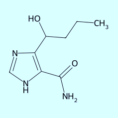 CCCC(O)c1nc[nH]c1C(N)=O